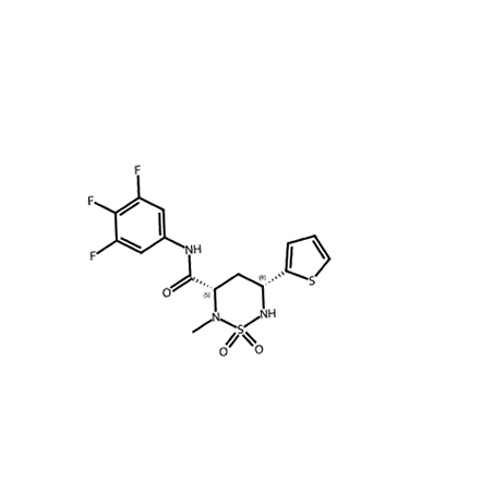 CN1[C@H](C(=O)Nc2cc(F)c(F)c(F)c2)C[C@H](c2cccs2)NS1(=O)=O